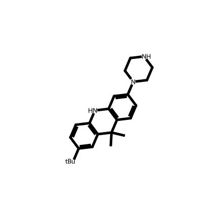 CC(C)(C)c1ccc2c(c1)C(C)(C)c1ccc(N3CCNCC3)cc1N2